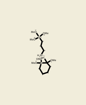 CCCC1(OC)CCCC[Si]1(OC)OC.CO[Si](CCCN)(OC)OC